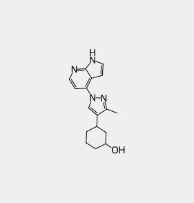 Cc1nn(-c2ccnc3[nH]ccc23)cc1C1CCCC(O)C1